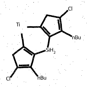 CCCCC1=C(Cl)CC(C)=C1[SiH2]C1=C(C)CC(Cl)=C1CCCC.[Ti]